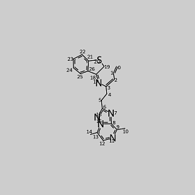 C=C/C=C(CCc1nc2c(C)ncc(C)n2n1)\N=C1/CSc2ccccc21